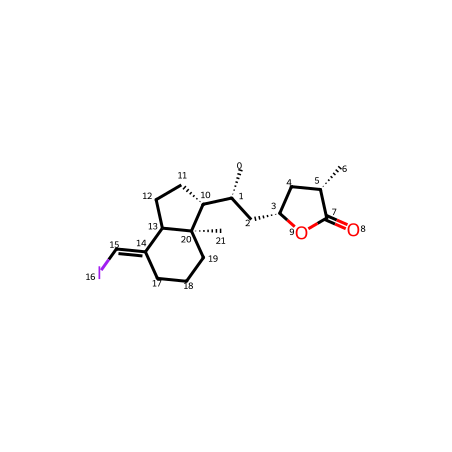 C[C@H](C[C@@H]1C[C@H](C)C(=O)O1)[C@H]1CCC2C(=CI)CCC[C@@]21C